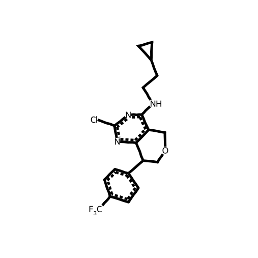 FC(F)(F)c1ccc(C2COCc3c(NCCC4CC4)nc(Cl)nc32)cc1